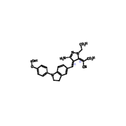 CCCCCCCCCCOc1ccc(N2CCc3cc(/C=c4\c(N)nn(CC(=O)O)\c4=C(\C#N)C(=O)O)ccc32)cc1